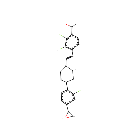 CC(O)c1ccc(/C=C/C2CCC(c3ccc(C4CO4)cc3F)CC2)c(F)c1F